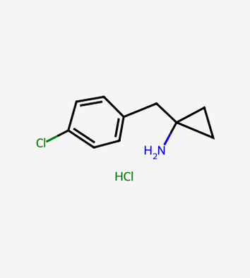 Cl.NC1(Cc2ccc(Cl)cc2)CC1